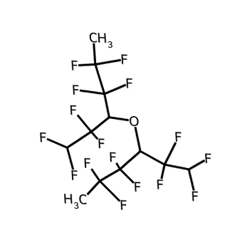 CC(F)(F)C(F)(F)C(OC(C(F)(F)C(F)F)C(F)(F)C(C)(F)F)C(F)(F)C(F)F